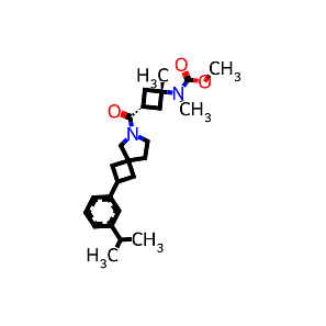 COC(=O)N(C)[C@]1(C)C[C@H](C(=O)N2CCC3(CC(c4cccc(C(C)C)c4)C3)C2)C1